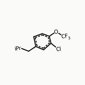 CC(C)Cc1ccc(OC(F)(F)F)c(Cl)c1